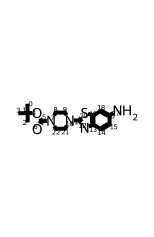 CC(C)(C)OC(=O)N1CCN(c2nc3ccc(N)cc3s2)CC1